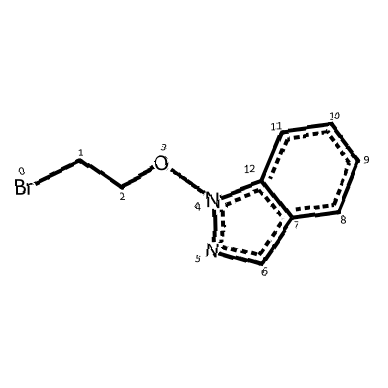 BrCCOn1ncc2ccccc21